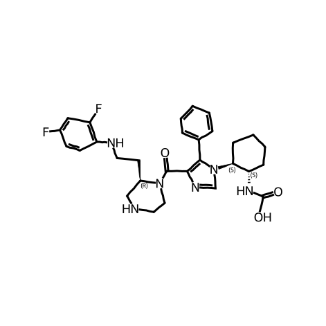 O=C(O)N[C@H]1CCCC[C@@H]1n1cnc(C(=O)N2CCNC[C@H]2CCNc2ccc(F)cc2F)c1-c1ccccc1